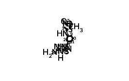 CSC(=C[N+](=O)[O-])Nc1cccc(-c2nsc(NC(=N)N)n2)c1